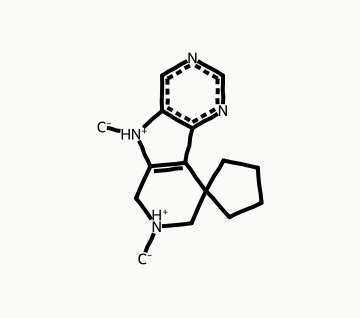 [CH2-][NH+]1CC2=C(c3ncncc3[NH+]2[CH2-])C2(CCCC2)C1